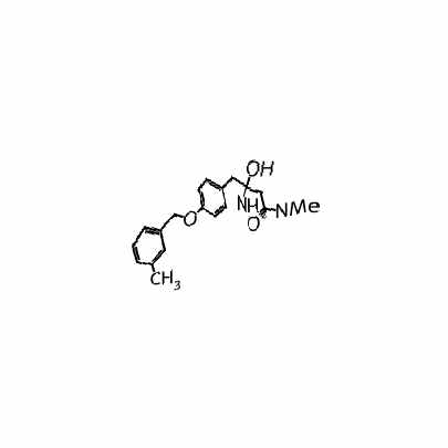 CNC(=O)CC(N)(O)Cc1ccc(OCc2cccc(C)c2)cc1